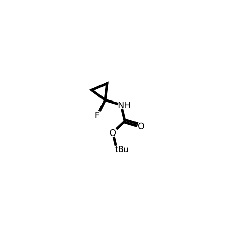 CC(C)(C)OC(=O)NC1(F)CC1